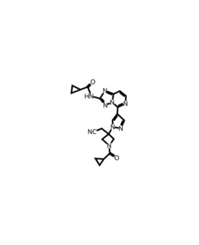 N#CCC1(n2cc(-c3nccc4nc(NC(=O)C5CC5)nn34)cn2)CN(C(=O)C2CC2)C1